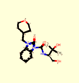 CC(C)(O)[C@@H](CO)NC(=O)n1c(=O)n(CC2CCOCC2)c2ccccc21